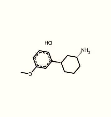 COc1cccc([C@@H]2CCC[C@@H](N)C2)c1.Cl